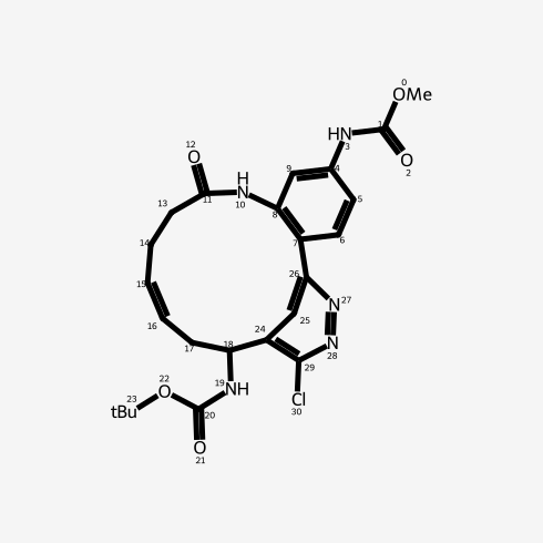 COC(=O)Nc1ccc2c(c1)NC(=O)CCC=CCC(NC(=O)OC(C)(C)C)c1cc-2nnc1Cl